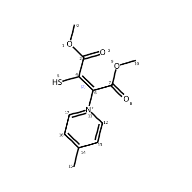 COC(=O)/C(S)=C(\C(=O)OC)[n+]1ccc(C)cc1